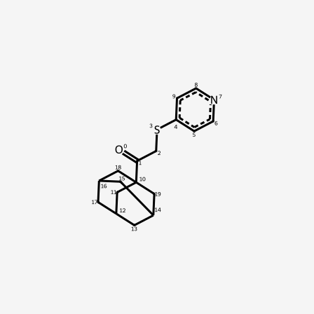 O=C(CSc1ccncc1)C12CC3CC(CC(C3)C1)C2